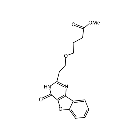 COC(=O)CCCOCCc1nc2c(oc3ccccc32)c(=O)[nH]1